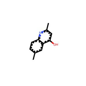 Cc1ccc2nc(C)cc(O)c2c1